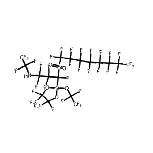 O=S(=O)(C(F)(F)C(F)(F)C(F)(F)C(F)(F)C(F)(F)C(F)(F)C(F)(F)C(F)(F)F)C(F)(C(F)(F)C(F)(F)NC(F)(F)C(F)(F)F)[Si](OC(F)(F)C(F)(F)F)(OC(F)(F)C(F)(F)F)OC(F)(F)C(F)(F)F